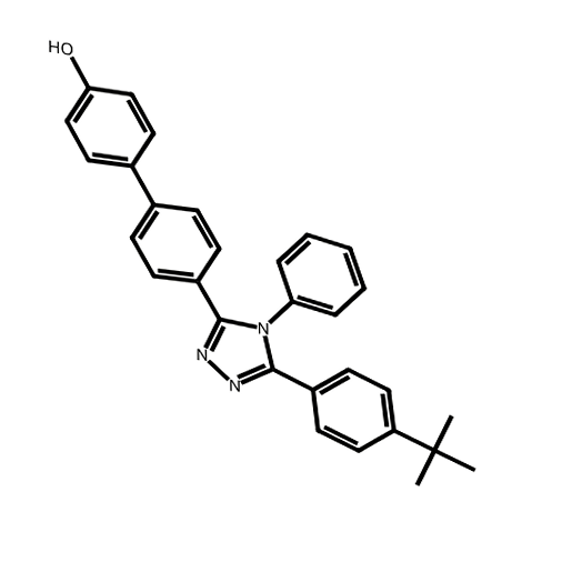 CC(C)(C)c1ccc(-c2nnc(-c3ccc(-c4ccc(O)cc4)cc3)n2-c2ccccc2)cc1